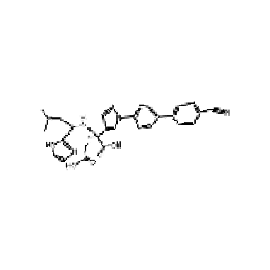 CC(C)CC(N[C@](CC(=O)O)(C(=O)O)c1ccn(-c2ccc(-c3ccc(C#N)cc3)cc2)c1)c1ncc[nH]1